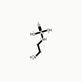 NCCNP(=O)(O)O